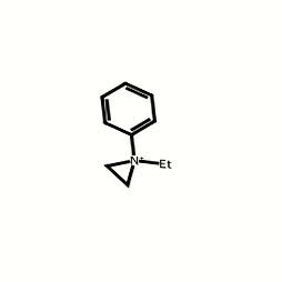 CC[N+]1(c2ccccc2)CC1